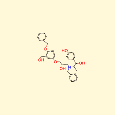 CC(C(O)c1ccc(O)cc1)N(Cc1ccccc1)C[C@H](O)COc1ccc(OCc2ccccc2)c(CO)c1